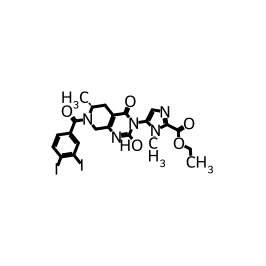 CCOC(=O)c1ncc(-n2c(O)nc3c(c2=O)C[C@@H](C)N(C(=O)c2ccc(I)c(I)c2)C3)n1C